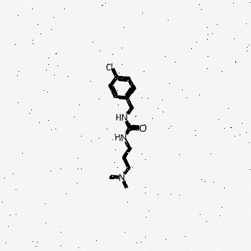 CN(C)CCCNC(=O)NCc1ccc(Cl)cc1